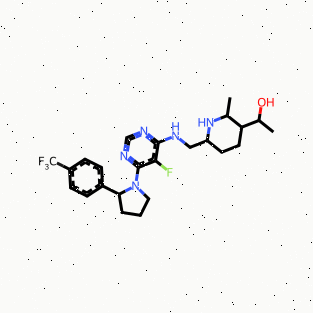 CC(O)C1CCC(CNc2ncnc(N3CCCC3c3ccc(C(F)(F)F)cc3)c2F)NC1C